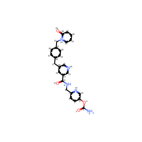 NC(=O)Oc1ccc(CNC(=O)c2cncc(Cc3ccc(Cn4ccccc4=O)cc3)c2)nc1